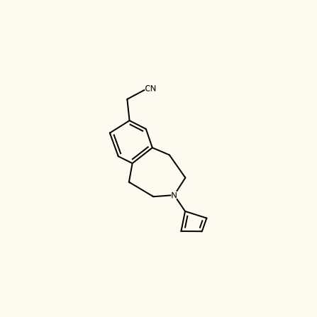 N#CCc1ccc2c(c1)CCN(C1=CC=C1)CC2